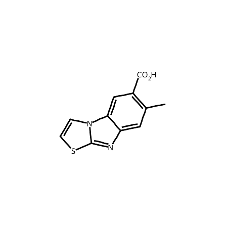 Cc1cc2nc3sccn3c2cc1C(=O)O